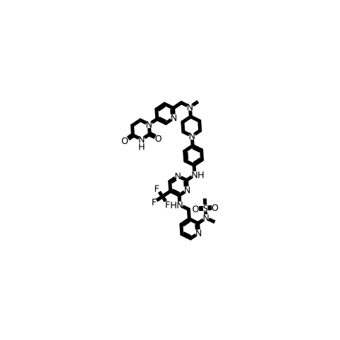 CN(Cc1ccc(N2CCC(=O)NC2=O)cn1)C1CCN(c2ccc(Nc3ncc(C(F)(F)F)c(NCc4cccnc4N(C)S(C)(=O)=O)n3)cc2)CC1